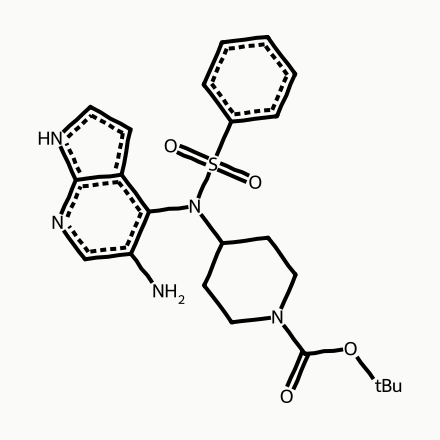 CC(C)(C)OC(=O)N1CCC(N(c2c(N)cnc3[nH]ccc23)S(=O)(=O)c2ccccc2)CC1